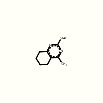 CSc1nc(C)c2c(n1)CCCC2